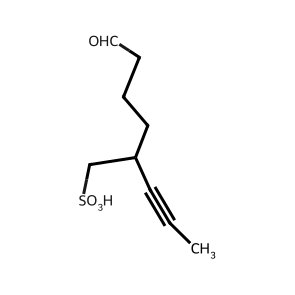 CC#CC(CCCC=O)CS(=O)(=O)O